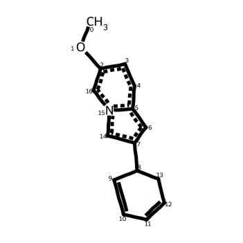 COc1ccc2cc(C3C=CC=CC3)cn2c1